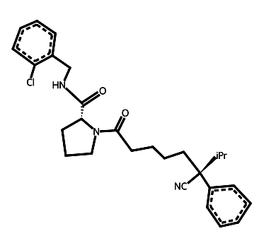 CC(C)[C@@](C#N)(CCCCC(=O)N1CCC[C@@H]1C(=O)NCc1ccccc1Cl)c1ccccc1